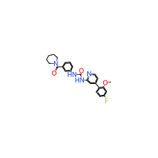 COc1cc(F)ccc1-c1ccnc(NC(=O)Nc2cccc(C(=O)N3CCCCC3)c2)c1